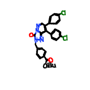 CC(C)COC(=O)c1ccc(Cn2nc3c(-c4ccc(Cl)cc4)c(-c4ccc(Cl)cc4)cnn3c2=O)cc1